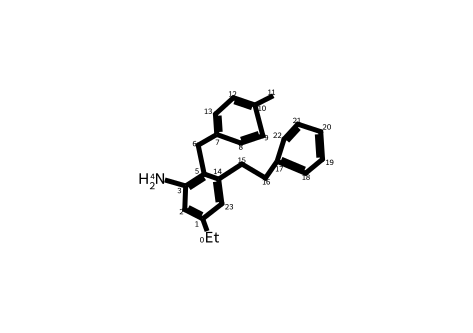 CCc1cc(N)c(Cc2ccc(C)cc2)c(CCc2ccccc2)c1